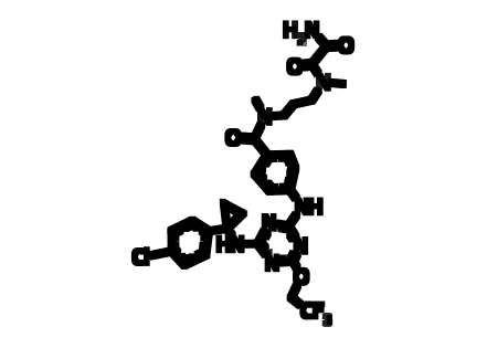 CN(CCCN(C)C(=O)c1ccc(Nc2nc(NC3(c4ccc(Cl)cc4)CC3)nc(OCC(F)(F)F)n2)cc1)C(=O)C(N)=O